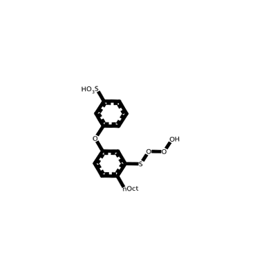 CCCCCCCCc1ccc(Oc2cccc(S(=O)(=O)O)c2)cc1SOOO